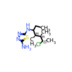 CCC(Nc1nnc(N)s1)[C@H](C)[C@@H](C)[C@H](C)Cl